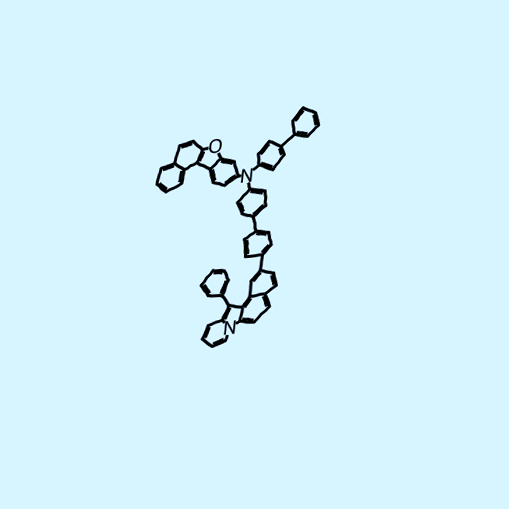 c1ccc(-c2ccc(N(c3ccc(-c4ccc(-c5ccc6ccc7c(c(-c8ccccc8)c8ccccn87)c6c5)cc4)cc3)c3ccc4c(c3)oc3ccc5ccccc5c34)cc2)cc1